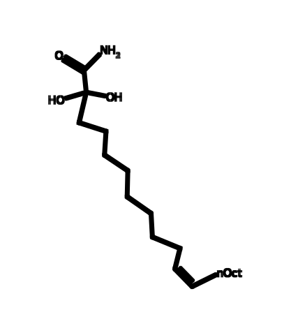 CCCCCCCC/C=C\CCCCCCCCC(O)(O)C(N)=O